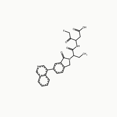 CCC(C(=O)NC(CC(=O)O)C(=O)CF)N1Cc2ccc(-c3cncc4ccccc34)cc2C1=O